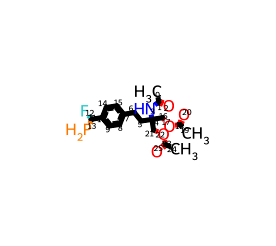 CC(=O)NC(CCc1ccc(C(F)P)cc1)(COC(C)=O)COC(C)=O